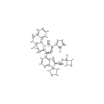 Cn1nccc1C(=O)N[C@H](C(=O)Nc1cccc(C2(C(=O)NCC3(C)CCC3)CCCC2)c1)C1c2ccccc2OCC12CC2